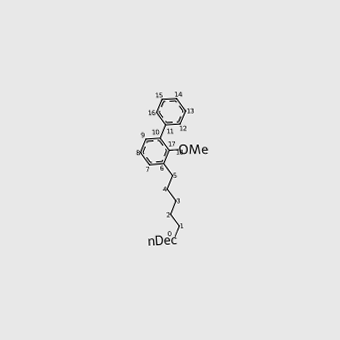 CCCCCCCCCCCCCCCc1cccc(-c2ccccc2)c1OC